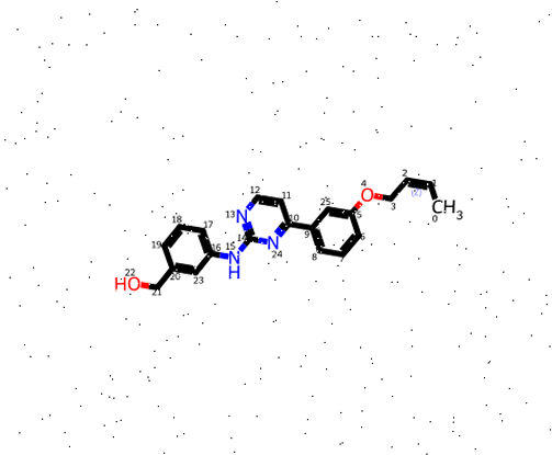 C/C=C\COc1cccc(-c2ccnc(Nc3cccc(CO)c3)n2)c1